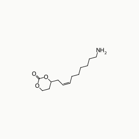 NCCCCCC/C=C\CC1CCOC(=O)O1